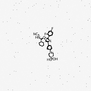 N#CCNC(=O)[C@@H]1CCCC[C@H]1c1oc(-c2ccc(F)cc2F)nc1-c1ccc(N2CCS(O)(O)CC2)cc1